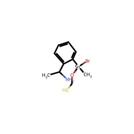 CC(N)c1cccc[c]1[Sn]([CH3])([Br])[O]CS